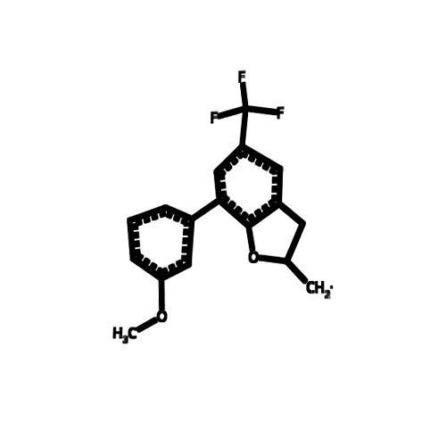 [CH2]C1Cc2cc(C(F)(F)F)cc(-c3cccc(OC)c3)c2O1